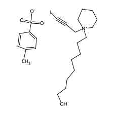 Cc1ccc(S(=O)(=O)[O-])cc1.OCCCCCCCC[N+]1(CC#CI)CCCCC1